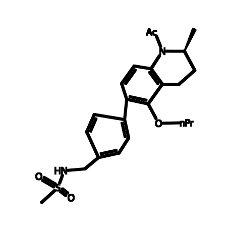 CCCOc1c(-c2ccc(CNS(C)(=O)=O)cc2)ccc2c1CC[C@H](C)N2C(C)=O